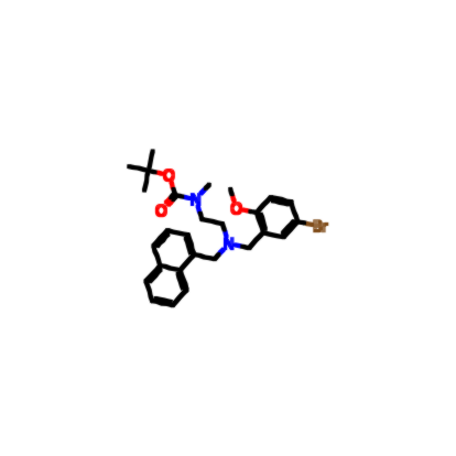 COc1ccc(Br)cc1CN(CCN(C)C(=O)OC(C)(C)C)Cc1cccc2ccccc12